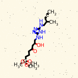 C=C=CC(C)CNc1nnc(NCC(O)CC(=O)CCC[Si](OC)(OC)OC)[nH]1